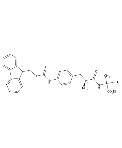 CCOC(=O)C(C)(C)NC(=O)[C@@H](N)Cc1ccc(NC(=O)OCC2c3ccccc3-c3ccccc32)cc1